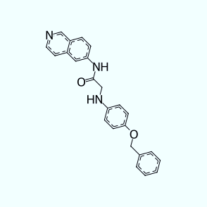 O=C(CNc1ccc(OCc2ccccc2)cc1)Nc1ccc2cnccc2c1